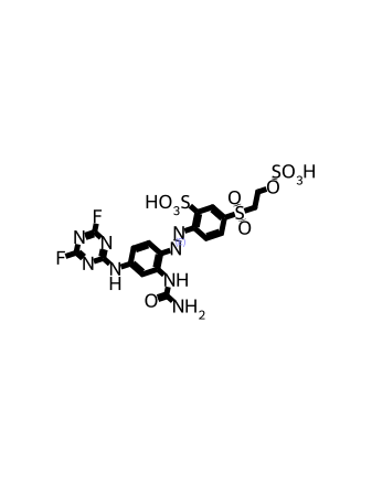 NC(=O)Nc1cc(Nc2nc(F)nc(F)n2)ccc1/N=N/c1ccc(S(=O)(=O)CCOS(=O)(=O)O)cc1S(=O)(=O)O